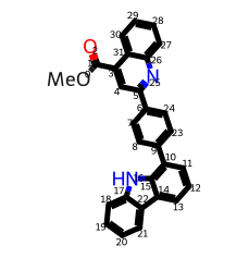 COC(=O)c1cc(-c2ccc(-c3cccc4c3[nH]c3ccccc34)cc2)nc2ccccc12